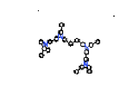 c1ccc(-c2ccc(N(c3ccc(-c4ccc(-n5c6ccc(-c7ccccc7)cc6c6c7ccccc7ccc65)cc4)cc3)c3ccc(-c4cccc(-c5cccc(-c6ccc(N(c7ccc(-c8ccccc8)cc7)c7ccc(-c8ccc(-n9c%10ccccc%10c%10cc(-c%11ccccc%11)c%11ccccc%11c%109)cc8)cc7)cc6)c5)c4)cc3)cc2)cc1